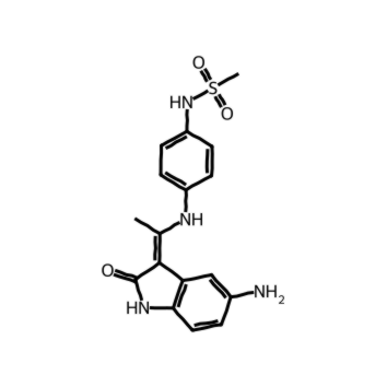 CC(Nc1ccc(NS(C)(=O)=O)cc1)=C1C(=O)Nc2ccc(N)cc21